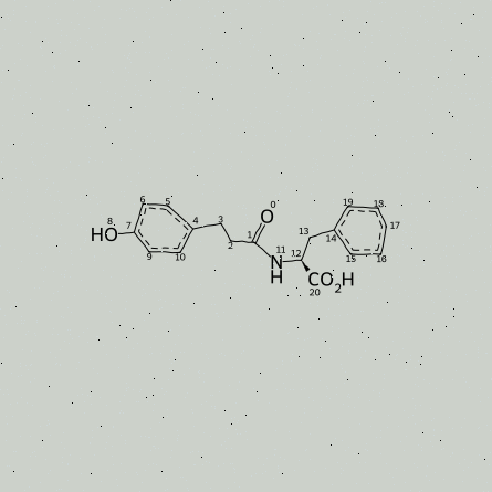 O=C(CCc1ccc(O)cc1)N[C@@H](Cc1ccccc1)C(=O)O